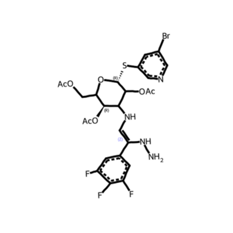 CC(=O)OCC1O[C@H](Sc2cncc(Br)c2)C(OC(C)=O)C(N/C=C(\NN)c2cc(F)c(F)c(F)c2)[C@H]1OC(C)=O